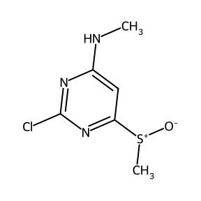 CNc1cc([S+](C)[O-])nc(Cl)n1